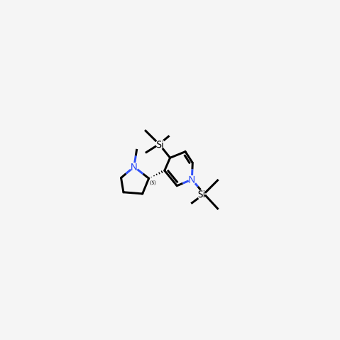 CN1CCC[C@H]1C1=CN([Si](C)(C)C)C=CC1[Si](C)(C)C